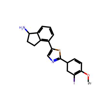 CC(C)OC1=C(I)CC(c2ncc(-c3cccc4c3CCC4N)s2)C=C1